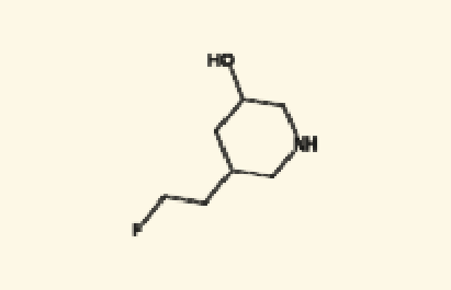 OC1CNCC(CCF)C1